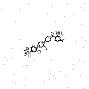 CC[C@H]1CN(c2ncc(NS(C)(=O)=O)cc2Cl)CCN1C1CCN(C(=O)c2ccc(Cl)nc2N)CC1